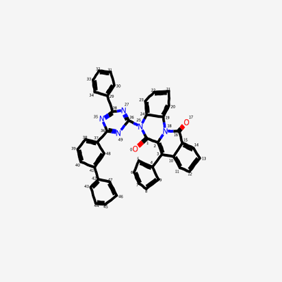 O=c1c2c(-c3ccccc3)c3ccccc3c(=O)n2c2ccccc2n1-c1nc(-c2ccccc2)nc(-c2cccc(-c3ccccc3)c2)n1